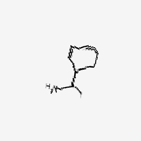 NC(I)C1C=CC=CC1